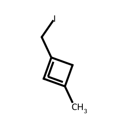 CC1=C=C(CI)C1